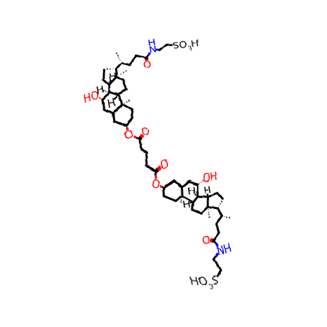 C[C@H](CCC(=O)NCCS(=O)(=O)O)[C@H]1CC[C@H]2[C@@H]3[C@@H](O)CC4C[C@H](OC(=O)CCCC(=O)O[C@@H]5CC[C@@]6(C)C(C5)C[C@H](O)[C@H]5[C@@H]7CC[C@H]([C@H](C)CCC(=O)NCCS(=O)(=O)O)[C@@]7(C)CC[C@@H]56)CC[C@]4(C)[C@H]3CC[C@]12C